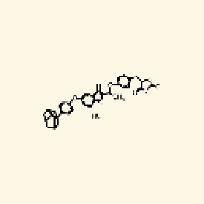 CC(Oc1ccc(CC2SC(=O)NC2=O)cc1)c1nc2ccc(Oc3ccc(C45CC6CC(CC(C6)C4)C5)cc3)cc2[nH]1.Cl